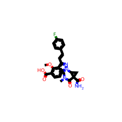 CCN(C)C(=O)C1(C(N)=O)CC1n1nc(C=Cc2ccc(F)cc2)c2c(OC)c(C(=O)O)ccc21